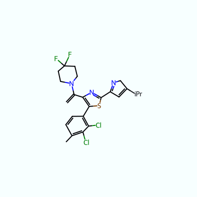 C=C(c1nc(C2=NCC(C(C)C)=C2)sc1-c1ccc(C)c(Cl)c1Cl)N1CCC(F)(F)CC1